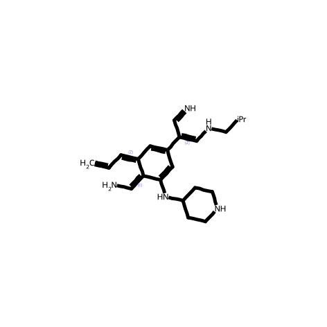 C=C/C=c1/cc(/C(C=N)=C/NCC(C)C)cc(NC2CCNCC2)/c1=C/N